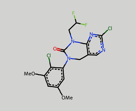 COc1cc(OC)c(Cl)c(N2Cc3cnc(Cl)nc3N(CC(F)F)C2=O)c1